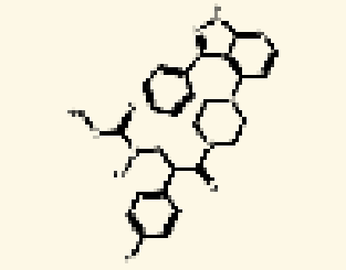 CC(C)N(CC(C(=O)N1CCN(c2ccnc3[nH]nc(-c4ccccc4)c23)CC1)c1ccc(Cl)cc1)C(=O)OC(C)(C)C